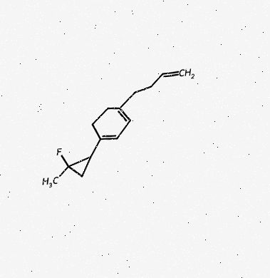 C=CCCC1=CC=C(C2CC2(C)F)CC1